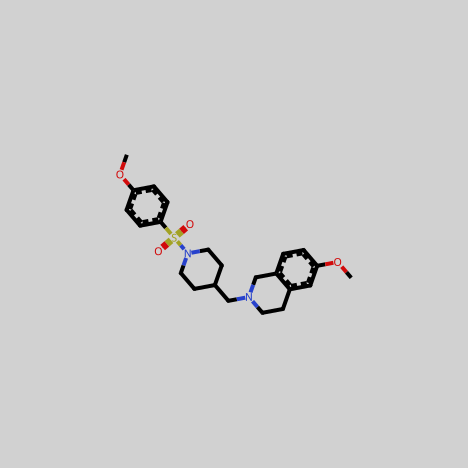 COc1ccc(S(=O)(=O)N2CCC(CN3CCc4cc(OC)ccc4C3)CC2)cc1